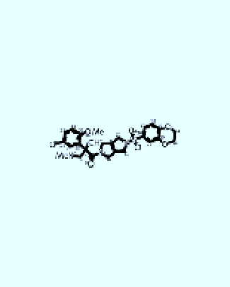 CNCC(C)(C(=O)N1CC2=C(C1)CN(S(=O)(=O)c1ccc3c(c1)OCCO3)C2)c1cc(Cl)ccc1OC